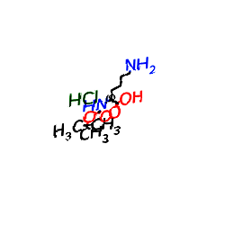 CC(C)(C)OC(=O)N[C@@H](CCCCN)C(=O)O.Cl